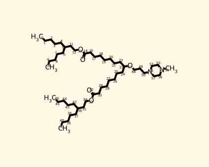 CCCCCC(CCCCC)CCOC(=O)CCCCCCCC(CCCCCCCC(=O)OCCC(CCCCC)CCCCC)OCCCN1CCN(C)CC1